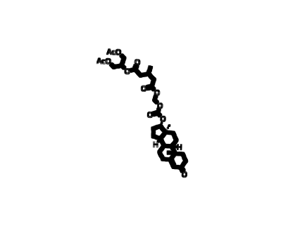 CC(=O)OCC(COC(C)=O)OC(=O)CC(C)CC(=O)OCOC(=O)O[C@H]1CC[C@H]2C3CCC4=CC(=O)CCC4(C)[C@H]3CC[C@]12C